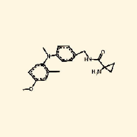 COc1ccc(N(C)c2ccc(CNC(=O)C3(N)CC3)cc2)c(C)c1